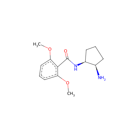 COc1cccc(OC)c1C(=O)N[C@H]1CCC[C@H]1N